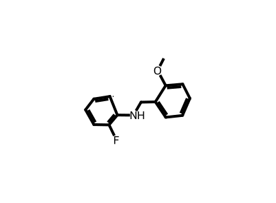 COc1ccccc1CNc1[c]cccc1F